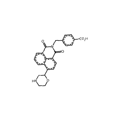 O=C(O)c1ccc(CN2C(=O)c3cccc4c(C5CNCCO5)ccc(c34)C2=O)cc1